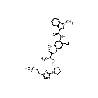 CC(OC[C@@H]1CCCN1c1ncc(CCC(=O)O)s1)C(=O)Cc1cc(Cl)c(NC(=O)c2cn(C)c3ccccc23)cc1Cl